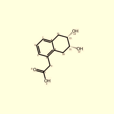 O=C(O)Cc1cccc2c1C[C@@H](O)[C@@H](O)C2